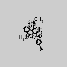 CCCCc1[nH]c(=O)c(S(=O)(=O)c2ccc(C3CC3)cc2)c(O)c1-c1c(OC)cccc1OC